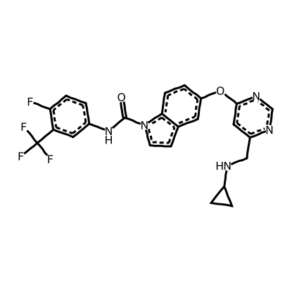 O=C(Nc1ccc(F)c(C(F)(F)F)c1)n1ccc2cc(Oc3cc(CNC4CC4)ncn3)ccc21